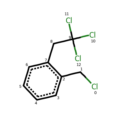 ClCc1ccccc1CC(Cl)(Cl)Cl